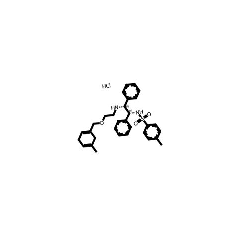 CC1=CCC=C(COCCN[C@H](c2ccccc2)[C@H](NS(=O)(=O)c2ccc(C)cc2)c2ccccc2)C1.Cl